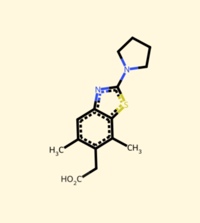 Cc1cc2nc(N3CCCC3)sc2c(C)c1CC(=O)O